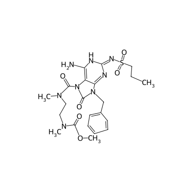 CCCS(=O)(=O)N=c1nc2c(c(N)[nH]1)n(C(=O)N(C)CCN(C)C(=O)OC)c(=O)n2Cc1ccccc1